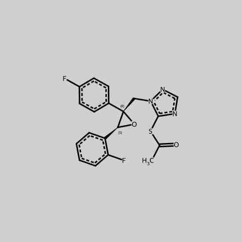 CC(=O)Sc1ncnn1C[C@@]1(c2ccc(F)cc2)O[C@H]1c1ccccc1F